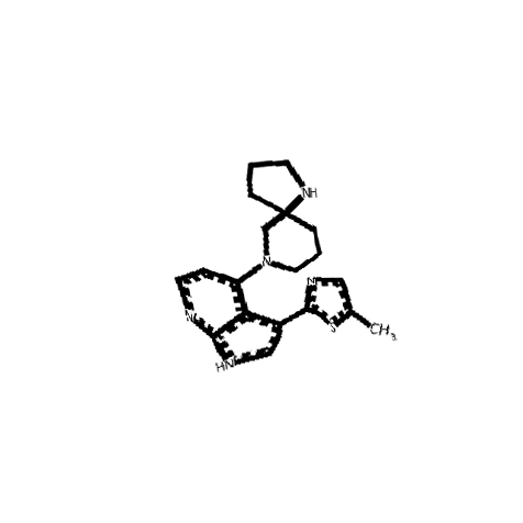 Cc1cnc(-c2c[nH]c3nccc(N4CCCC5(CCCN5)C4)c23)s1